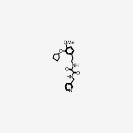 COc1ccc(CCNC(=O)C(=O)NCc2cccnc2)cc1OC1CCCC1